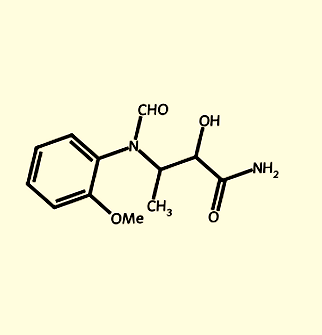 COc1ccccc1N(C=O)C(C)C(O)C(N)=O